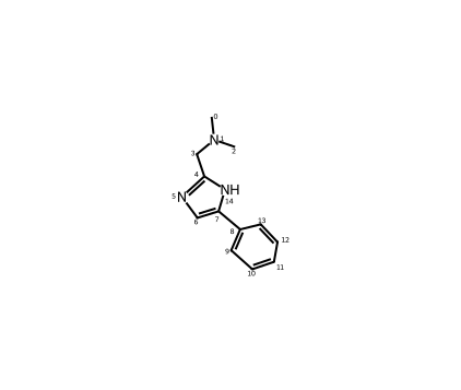 CN(C)Cc1ncc(-c2ccccc2)[nH]1